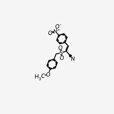 COc1ccc(CS(=O)(=O)/C(C#N)=C\c2ccc([N+](=O)[O-])cc2)cc1